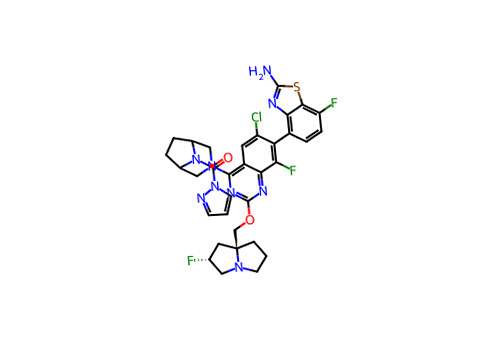 Nc1nc2c(-c3c(Cl)cc4c(N5CC6CCC(C5)N6C(=O)n5cccn5)nc(OC[C@@]56CCCN5C[C@H](F)C6)nc4c3F)ccc(F)c2s1